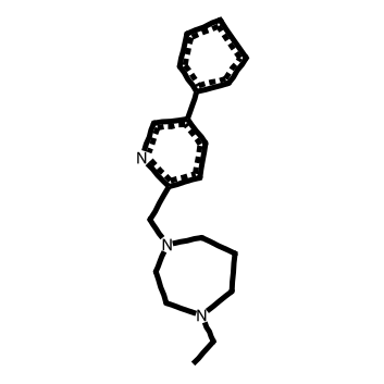 CCN1CCCN(Cc2ccc(-c3ccccc3)cn2)CC1